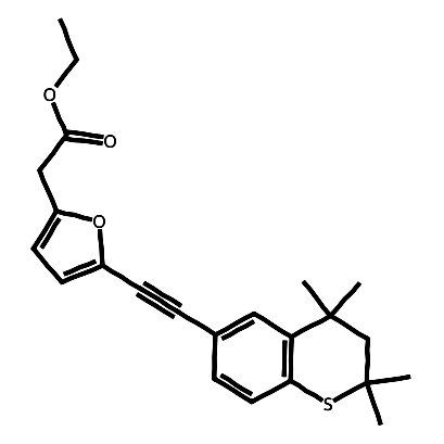 CCOC(=O)Cc1ccc(C#Cc2ccc3c(c2)C(C)(C)CC(C)(C)S3)o1